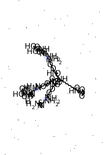 N/C(=C\N(N)CCOCCOCCNC(=O)CCC(CCC(=O)NCCOCCOCCN(N)/C=C(\N)CCc1nnc(N[C@H]2CO[C@H](CO)[C@H](O)[C@@H]2O)s1)(CCC(=O)NCCOCCOCCN(N)/C=C(\N)CCc1nnc(N[C@H]2CO[C@H](CO)[C@H](O)[C@@H]2O)s1)NC(=O)CCCCCCCCCCC(=O)NCCN1C(=O)C=CC1=O)CCc1nnc(N)s1